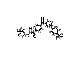 CC1(C)OC[C@@H](CNC(=O)c2ccc(Nc3cnn(-c4ccc(C(F)(F)F)cn4)c3)cn2)O1